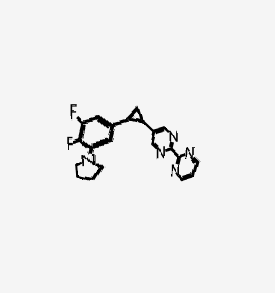 Fc1cc(C2CC2c2cnc(-c3ncccn3)nc2)cc(N2CCCC2)c1F